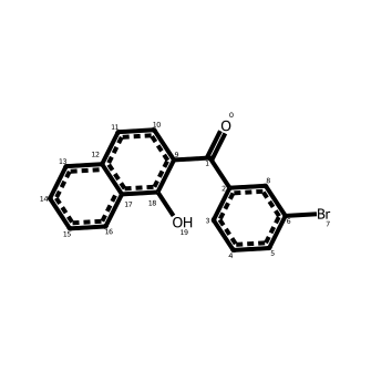 O=C(c1cccc(Br)c1)c1ccc2ccccc2c1O